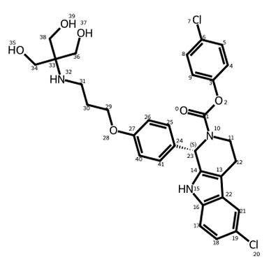 O=C(Oc1ccc(Cl)cc1)N1CCc2c([nH]c3ccc(Cl)cc23)[C@@H]1c1ccc(OCCCNC(CO)(CO)CO)cc1